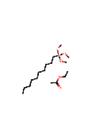 CCCCCCCCCC[Si](OC)(OC)OC.CCOC(C)=O